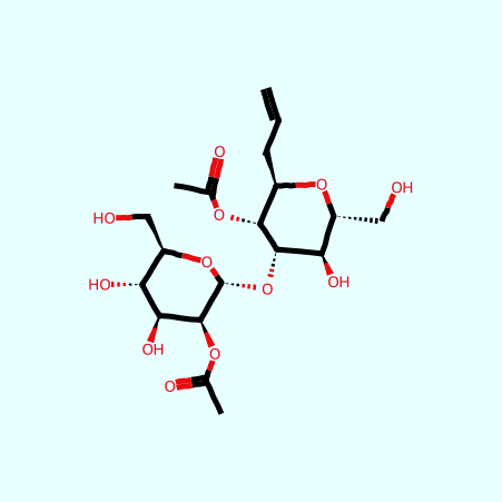 C=CC[C@H]1O[C@H](CO)[C@@H](O)[C@H](O[C@H]2O[C@H](CO)[C@@H](O)[C@H](O)[C@@H]2OC(C)=O)[C@@H]1OC(C)=O